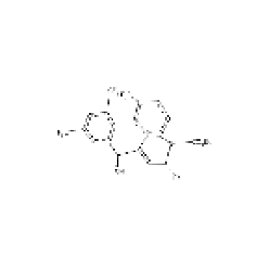 CCOC(=O)N1c2ccc(C(F)(F)F)cc2C([C@@H](C#N)c2cc(C(F)(F)F)cc(C(F)(F)F)c2)=C[C@H]1CC